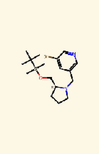 CC(C)(C)[Si](C)(C)OC[C@@H]1CCCN1Cc1cncc(Br)c1